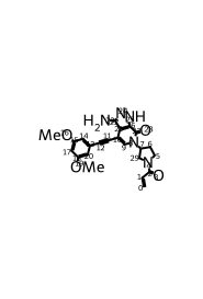 C=CC(=O)N1CCC(n2cc(C#Cc3cc(OC)cc(OC)c3)c3c(N)n[nH]c3c2=O)C1